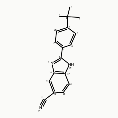 CC(C)(C)c1ccc(-c2nc3cc(C#N)ccc3[nH]2)cc1